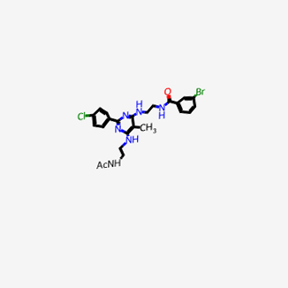 CC(=O)NCCNc1nc(-c2ccc(Cl)cc2)nc(NCCNC(=O)c2cccc(Br)c2)c1C